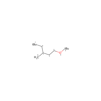 CC(CCOC(C)(C)C)CC(C)(C)C